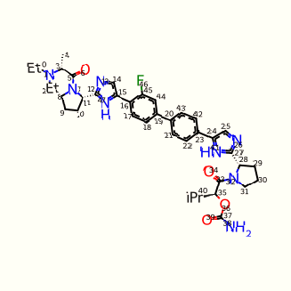 CCN(CC)[C@H](C)C(=O)N1CCC[C@H]1c1ncc(-c2ccc(-c3ccc(-c4cnc([C@@H]5CCCN5C(=O)[C@@H](OC(N)=O)C(C)C)[nH]4)cc3)cc2F)[nH]1